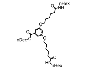 CCCCCCCCCCOC(=O)c1cc(OCCCCCC(=O)NCCCCCC)cc(OCCCCCC(=O)NCCCCCC)c1